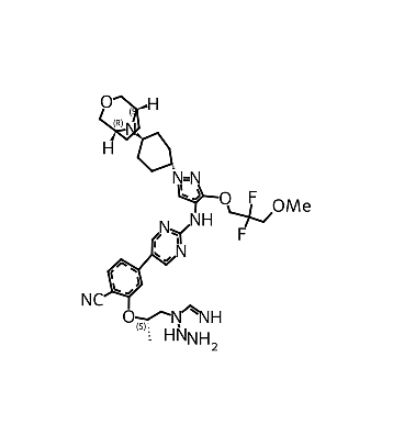 COCC(F)(F)COc1nn([C@H]2CC[C@H](N3[C@@H]4CC[C@H]3COC4)CC2)cc1Nc1ncc(-c2ccc(C#N)c(O[C@@H](C)CN(C=N)NN)c2)cn1